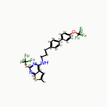 Cc1cc2c(NCCCc3ccc(-c4ccc(OC(F)(F)F)cc4)cc3)nc(SC(F)(F)F)nc2s1